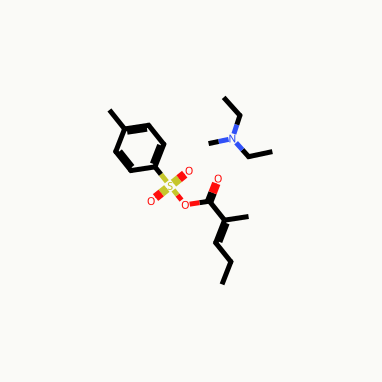 CCC=C(C)C(=O)OS(=O)(=O)c1ccc(C)cc1.CCN(C)CC